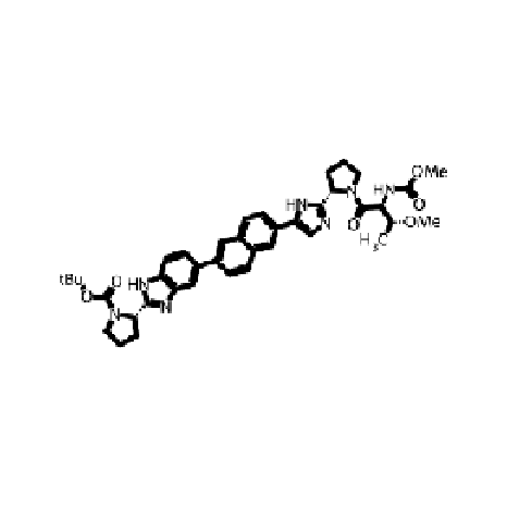 COC(=O)N[C@H](C(=O)N1CCC[C@H]1c1ncc(-c2ccc3cc(-c4ccc5[nH]c([C@@H]6CCCN6C(=O)OC(C)(C)C)nc5c4)ccc3c2)[nH]1)[C@@H](C)OC